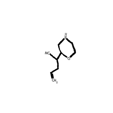 C=CCC(C#N)C1CNCCO1